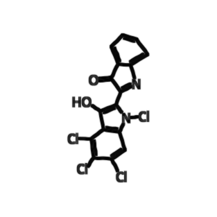 O=C1C(c2c(O)c3c(Cl)c(Cl)c(Cl)cc3n2Cl)=Nc2ccccc21